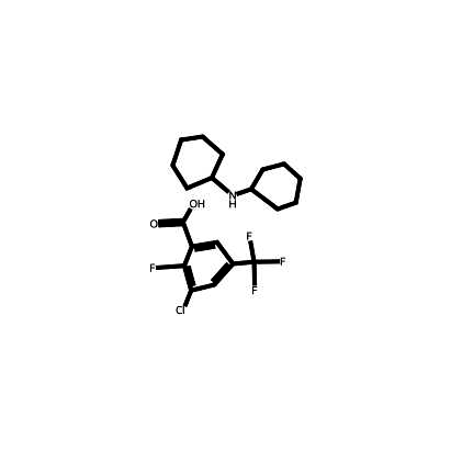 C1CCC(NC2CCCCC2)CC1.O=C(O)c1cc(C(F)(F)F)cc(Cl)c1F